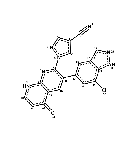 N#Cc1cnn(-c2nc3[nH]ccc(=O)c3cc2-c2cc(Cl)c3[nH]ncc3c2)c1